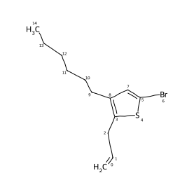 C=CCc1sc(Br)cc1CCCCCC